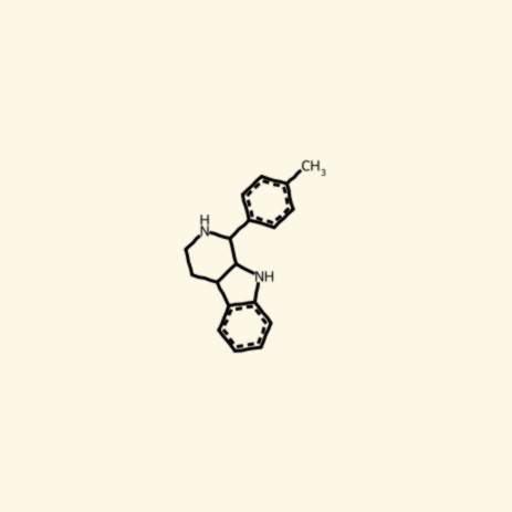 Cc1ccc(C2NCCC3c4ccccc4NC32)cc1